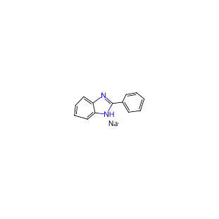 [Na].c1ccc(-c2nc3ccccc3[nH]2)cc1